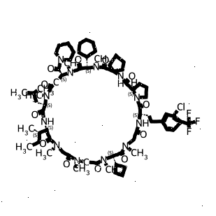 CC[C@H](C)[C@@H]1NC(=O)[C@H](CC(C)C)N(C)C(=O)C[C@@H](C(=O)N2CCCCC2)N(C)C(=O)[C@H](C2CCCCC2)N(C)C(=O)C2(CCCC2)NC(=O)[C@@H]2CCCN2C(=O)[C@H](CCc2ccc(C(F)(F)F)c(Cl)c2)NC(=O)CN(C)C(=O)[C@H](C2CCC2)N(C)C(=O)CN(C)C(=O)CN(C)C1=O